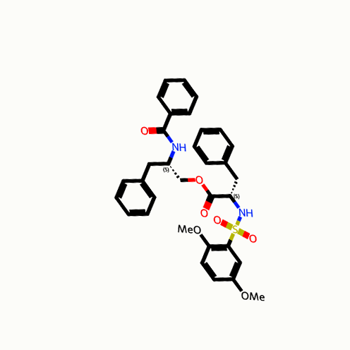 COc1ccc(OC)c(S(=O)(=O)N[C@@H](Cc2ccccc2)C(=O)OC[C@H](Cc2ccccc2)NC(=O)c2ccccc2)c1